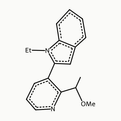 CCn1c(-c2cccnc2C(C)OC)cc2ccccc21